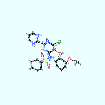 COc1ccccc1Oc1c(Cl)nc(-c2ncccn2)nc1NS(=O)(=O)c1ccccc1